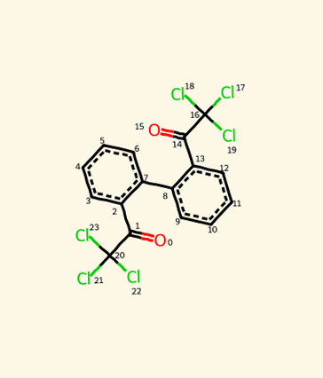 O=C(c1ccccc1-c1ccccc1C(=O)C(Cl)(Cl)Cl)C(Cl)(Cl)Cl